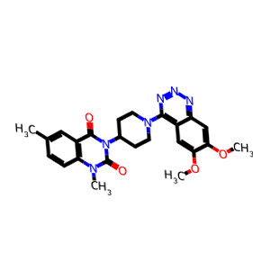 COc1cc2nnnc(N3CCC(n4c(=O)c5cc(C)ccc5n(C)c4=O)CC3)c2cc1OC